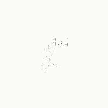 COc1ncccc1-c1cc([C@@H]2CCCN2c2nccc(Nc3cc(C4CC4)[nH]n3)n2)on1